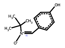 CC(C)(C)/[N+]([O-])=C\c1ccc(O)cc1